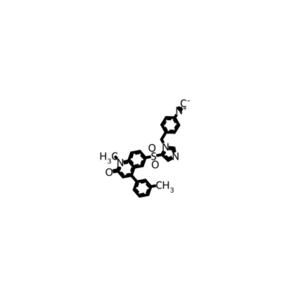 [C-]#[N+]c1ccc(Cn2cncc2S(=O)(=O)c2ccc3c(c2)c(-c2cccc(C)c2)cc(=O)n3C)cc1